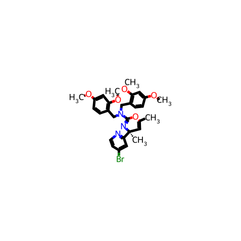 COc1ccc(CN(Cc2ccc(OC)cc2OC)C2=N[C@](C)(c3cc(Br)ccn3)C=C(C)O2)c(OC)c1